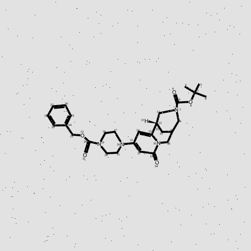 CC(C)(C)OC(=O)N1CC2C[C@@H](C1)c1cc(N3CCN(C(=O)OCc4ccccc4)CC3)cc(=O)n1C2